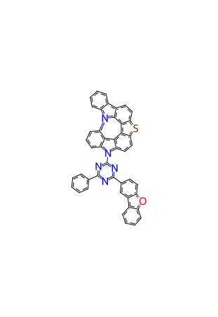 c1ccc(-c2nc(-c3ccc4oc5ccccc5c4c3)nc(-n3c4ccc5sc6ccc7c8ccccc8n8c9cccc3c9c4c5c6c78)n2)cc1